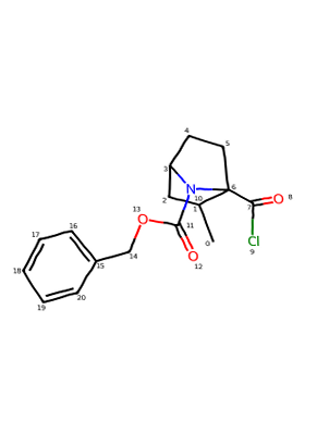 CC1CC2CCC1(C(=O)Cl)N2C(=O)OCc1ccccc1